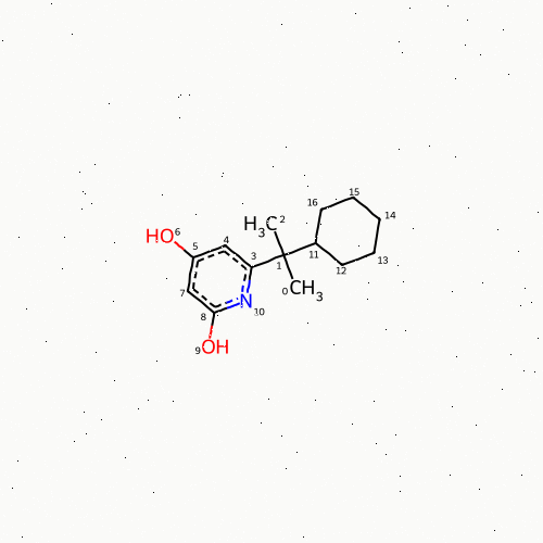 CC(C)(c1cc(O)cc(O)n1)C1CCCCC1